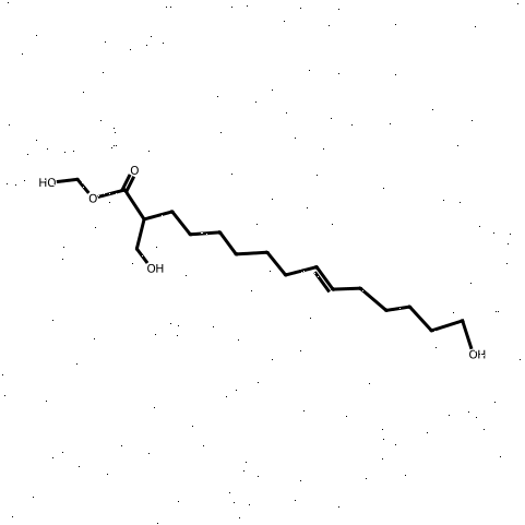 O=C(OCO)C(CO)CCCCCCC=CCCCCCO